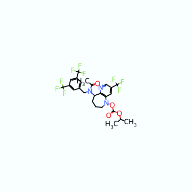 CC(=O)N(Cc1cc(C(F)(F)F)cc(C(F)(F)F)c1)C1CCCN(OC(=O)OC(C)C)c2cc(C(F)(F)F)cnc21